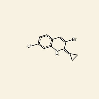 Clc1ccc2c(c1)NC(=C1CC1)C(Br)=C2